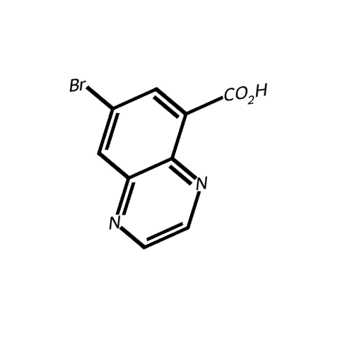 O=C(O)c1cc(Br)cc2nccnc12